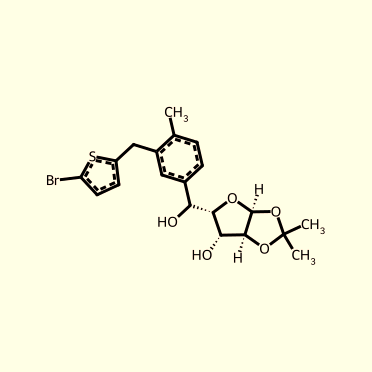 Cc1ccc(C(O)[C@@H]2O[C@H]3OC(C)(C)O[C@H]3[C@@H]2O)cc1Cc1ccc(Br)s1